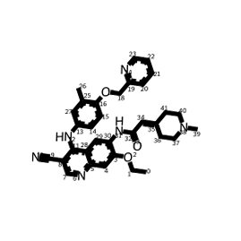 CCOc1cc2ncc(C#N)c(Nc3ccc(OCc4ccccn4)c(C)c3)c2cc1NC(=O)C=C1CCN(C)CC1